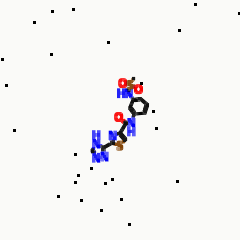 CS(=O)(=O)Nc1cccc(NC(=O)c2csc(-c3nnc[nH]3)n2)c1